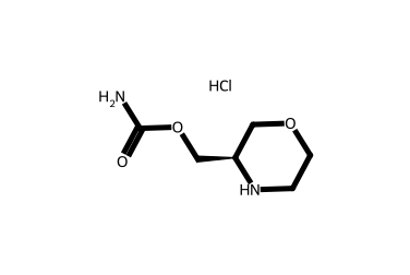 Cl.NC(=O)OC[C@H]1COCCN1